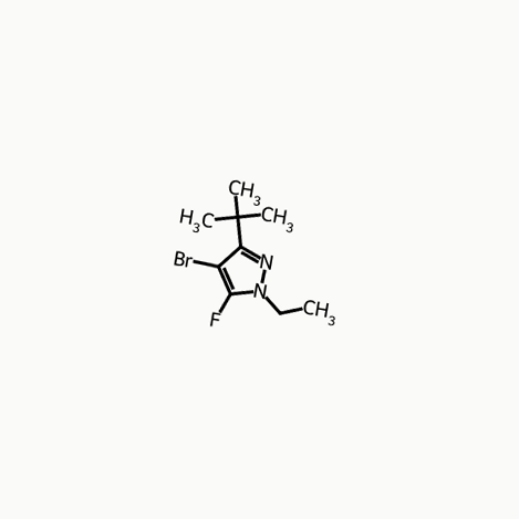 CCn1nc(C(C)(C)C)c(Br)c1F